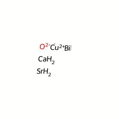 [Bi].[CaH2].[Cu+2].[O-2].[SrH2]